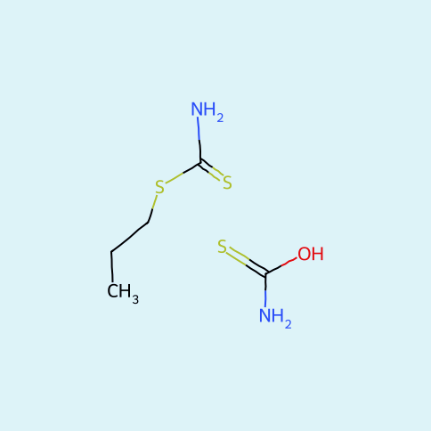 CCCSC(N)=S.NC(O)=S